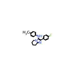 Cc1ccc(Nc2c(-c3ccc(F)cc3)nc3n2CCCC3)cc1